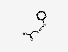 O=C(O)CN=C=Nc1ccccc1